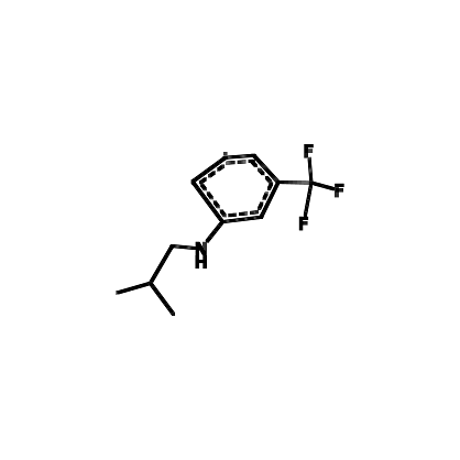 CC(C)CNc1c[c]cc(C(F)(F)F)c1